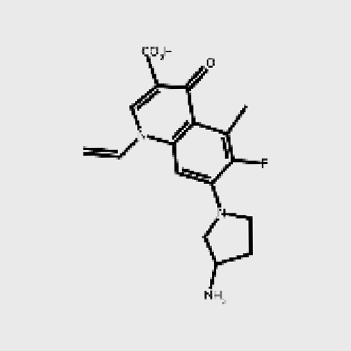 C=Cn1cc(C(=O)O)c(=O)c2c(C)c(F)c(N3CCC(N)C3)cc21